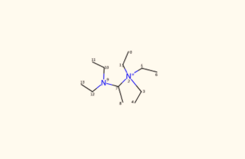 C[CH][N+](CC)(CC)C(C)N(CC)CC